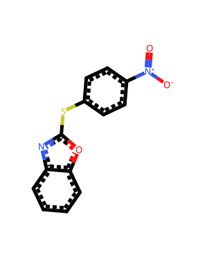 O=[N+]([O-])c1ccc(Sc2nc3ccccc3o2)cc1